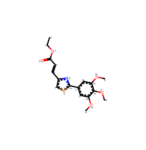 CCOC(=O)C=Cc1csc(-c2cc(OC)c(OC)c(OC)c2)n1